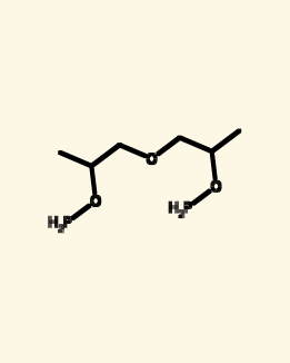 CC(COCC(C)OP)OP